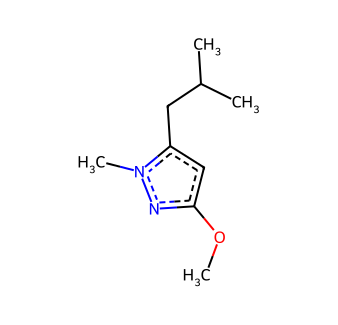 COc1cc(CC(C)C)n(C)n1